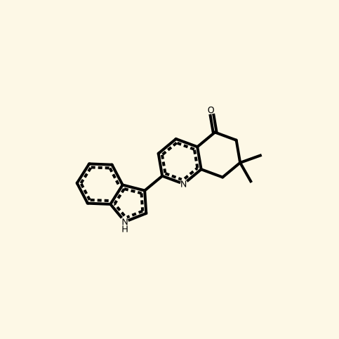 CC1(C)CC(=O)c2ccc(-c3c[nH]c4ccccc34)nc2C1